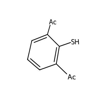 CC(=O)c1cccc(C(C)=O)c1S